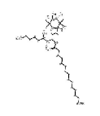 CCCCCCCCCCCCCCCCCCCCCCCC(=O)N[C@@H](CO[C@]1(C)OC(C)(C)[C@@](C)(O)[C@H](O)C1(C)O)[C@H](O)[C@H](O)CCCCCCCCCCCCCC